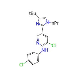 CCCn1cc(C(C)(C)C)nc1-c1cnc(Nc2ccc(Cl)cc2)c(Cl)c1